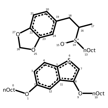 CCCCCCCCOc1ccc2scc(OCCCCCCCC)c2c1.CCCCCCCC[S+]([O-])C(C)Cc1ccc2c(c1)OCO2